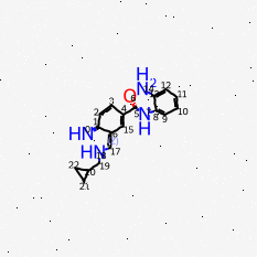 N=C1C=CC(C(=O)Nc2ccccc2N)=C/C1=C/NCC1CC1